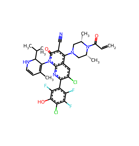 C=CC(=O)N1[C@H](C)CN(c2c(C#N)c(=O)n(C3=C(C)C=CNC3C(C)C)c3nc(-c4c(F)c(O)c(Cl)c(F)c4F)c(Cl)cc23)C[C@@H]1C